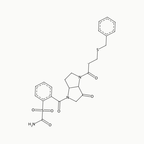 NC(=O)S(=O)(=O)c1ccccc1C(=O)N1CC(=O)C2C1CCN2C(=O)[CH]CSCc1ccccc1